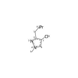 CC(C)Cc1nn(C)cc1Cl